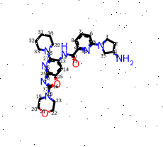 NC1CCN(c2cccc(C(=O)Nc3cc4oc(N5CCOCC5)nc4nc3N3CCCCC3)n2)C1